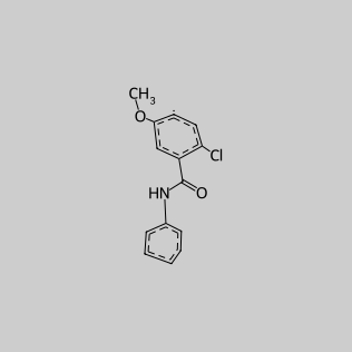 COc1[c]cc(Cl)c(C(=O)Nc2ccccc2)c1